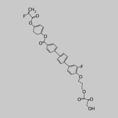 C=C(F)C(=O)OC1=CC=C(OC(=O)c2ccc(-c3ccc(-c4ccc(OCCCOC(=O)C(=O)CO)c(F)c4)cc3)cc2)CC1